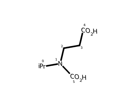 CC(C)N(CCC(=O)O)C(=O)O